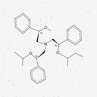 CCC(C)O[C@@H](CN(C[C@H](OC)c1ccccc1)C[C@H](OC(C)C)c1ccccc1)c1ccccc1